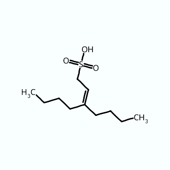 CCCCC(=CCS(=O)(=O)O)CCCC